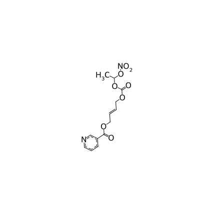 CC(OC(=O)OCC=CCOC(=O)c1cccnc1)O[N+](=O)[O-]